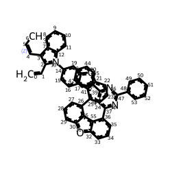 C=Cc1c(/C=C\C)c2ccccc2n1-c1ccc2c(c1)oc1cccc(-c3cccc4oc5cccc(-c6nc(-c7ccccc7)nc(-c7ccccc7)n6)c5c34)c12